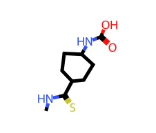 CNC(=S)C1CCC(NC(=O)O)CC1